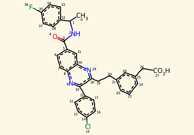 CC(NC(=O)c1ccc2nc(-c3ccc(Cl)cc3)c(CCc3cccc(CC(=O)O)c3)nc2c1)c1ccc(F)cc1